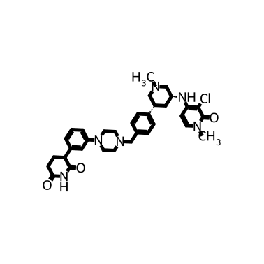 CN1C[C@H](Nc2ccn(C)c(=O)c2Cl)C[C@H](c2ccc(CN3CCN(c4cccc(C5CCC(=O)NC5=O)c4)CC3)cc2)C1